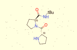 CC(C)(C)NC(=O)[C@@H]1CCCN1C(=O)[C@@H]1CCCN1